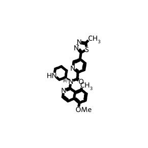 COc1ccc(C)c2c(N(C(=O)c3ccc(-c4nnc(C)s4)cn3)[C@@H]3CCCNC3)nccc12